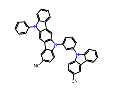 N#Cc1ccc2c(c1)c1ccccc1n2-c1cccc(-n2c3ccc(C#N)cc3c3cc4c(cc32)c2ccccc2n4-c2ccccc2)c1